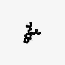 C=CC(=O)OCC1(COC(=O)C=C)COC2(CCCC2)OC1